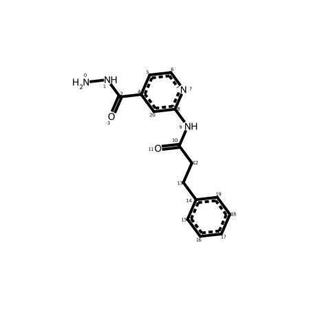 NNC(=O)c1ccnc(NC(=O)CCc2ccccc2)c1